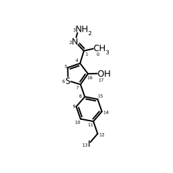 C/C(=N\N)c1csc(-c2ccc(CI)cc2)c1O